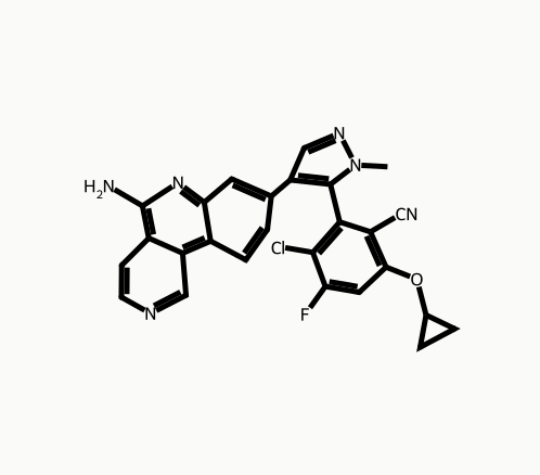 Cn1ncc(-c2ccc3c(c2)nc(N)c2ccncc23)c1-c1c(Cl)c(F)cc(OC2CC2)c1C#N